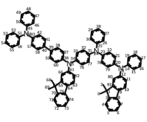 CC1(C)c2ccccc2-c2ccc(N(c3ccccc3)c3ccc(N(c4ccccc4)c4ccc(N(c5ccc(-c6ccc(N(c7ccccc7)c7ccccc7)cc6)cc5)c5ccc6c(c5)C(C)(C)c5ccccc5-6)cc4)cc3)cc21